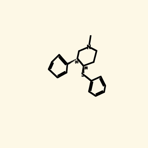 CN1CC[C@@H](Sc2ccccc2)[C@H](c2ccccc2)C1